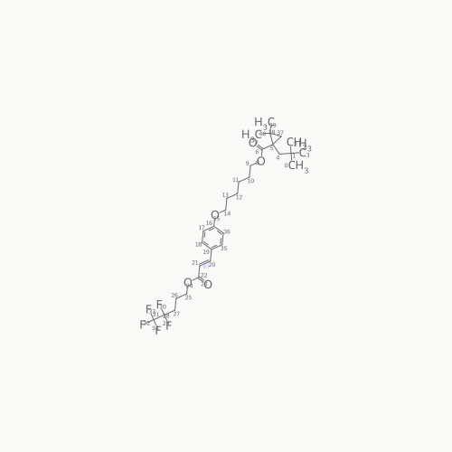 CC(C)(C)CC1(C(=O)OCCCCCCOc2ccc(/C=C/C(=O)OCCCC(F)(F)C(F)(F)F)cc2)CC1(C)C